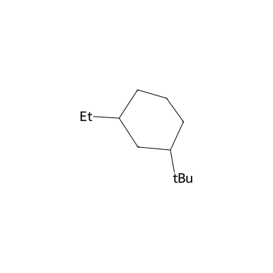 [CH2]CC1CCCC(C(C)(C)C)C1